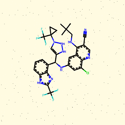 CC(C)(C)CNc1c(C#N)cnc2c(Cl)cc(N[C@H](C3=CN(C4(C(F)(F)F)CC4)NN3)c3cccc4[nH]c(C(F)(F)F)nc34)cc12